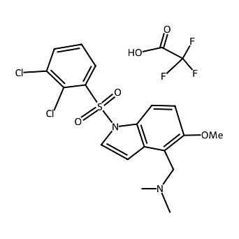 COc1ccc2c(ccn2S(=O)(=O)c2cccc(Cl)c2Cl)c1CN(C)C.O=C(O)C(F)(F)F